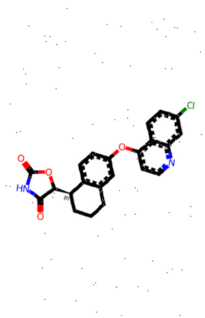 O=C1NC(=O)C([C@@H]2CCCc3cc(Oc4ccnc5cc(Cl)ccc45)ccc32)O1